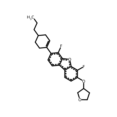 CCCC1CC=C(c2ccc3c(oc4c(F)c(OC5CCOC5)ccc43)c2F)CC1